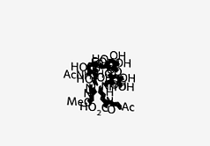 COCc1cn(CC(O)C(O)C2OC(OCC3OC(OC(C(O)CO)C(O)C(O)CNCCCCC(NC(=O)CCC(C)=O)C(=O)O)C(O)C(O)C3O)(C(=O)O)CC(O)C2NC(C)=O)nn1